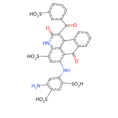 Nc1cc(Nc2cc(S(=O)(=O)O)c3[nH]c(=O)c(C(=O)c4cccc(S(=O)(=O)O)c4)c4c3c2C(=O)c2ccccc2-4)c(S(=O)(=O)O)cc1S(=O)(=O)O